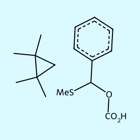 CC1(C)CC1(C)C.CSC(OC(=O)O)c1ccccc1